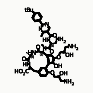 Cc1nc(-c2ccc(C(C)(C)C)cc2)ncc1C(=O)N[C@@H](CN)C(=O)N(C)[C@@H]1C(=O)N[C@@H](C)C(=O)N[C@H](C(=O)O)Cc2ccc(OC[C@H](O)CN)c(c2)-c2cc1cc(OC[C@H](O)CN)c2O